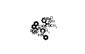 CC(=O)O.CN(C(=O)c1c(S(N)(=O)=O)ccc2ccccc12)[C@H]1CCCN(Nc2ccccc2)C1.COC(=O)C(C(C)=O)C1CCCNC1